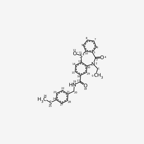 CCN1C(=O)c2ccccc2[S+]([O-])c2ccc(C(=O)NCc3ccc(SC)cc3)cc21